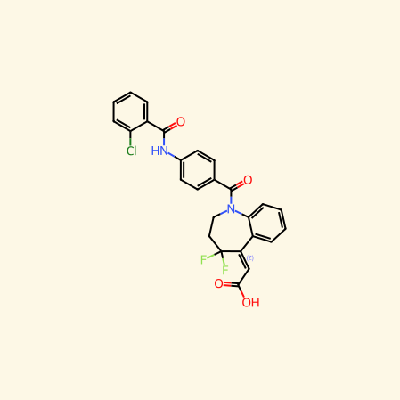 O=C(O)/C=C1/c2ccccc2N(C(=O)c2ccc(NC(=O)c3ccccc3Cl)cc2)CCC1(F)F